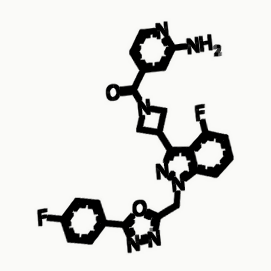 Nc1cc(C(=O)N2CC(c3nn(Cc4nnc(-c5ccc(F)cc5)o4)c4cccc(F)c34)C2)ccn1